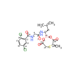 CC(C)C[C@H](NC(=O)CNC(=O)c1cc(Cl)ccc1Cl)B1OC(=O)CS[C@H](C)C(=O)O1